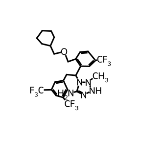 CN1NN=C(N)N1C(Cc1cc(C(F)(F)F)cc(C(F)(F)F)c1)c1cc(C(F)(F)F)ccc1COCC1CCCCC1